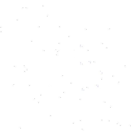 C=C(C#N)C(=O)N1CCC1Cn1nc(-c2ccc(Oc3ccccc3)cc2)c2c(N)ncnc21